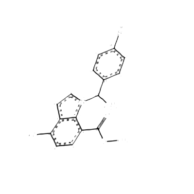 COC(=O)c1ccc(F)c2ccn(C(C)c3ccc(Br)cc3)c12